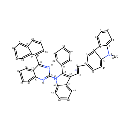 CCn1c2ccccc2c2cc(/C=C/c3c(-c4ccccc4)n(-c4nc(-c5cccc6ccccc56)c5ccccc5n4)c4ccccc34)ccc21